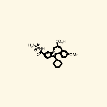 COc1ccc2c(c1)C=C(C(=O)O)Cn1c-2c(C2CCCCC2)c2ccc(C(=O)NS(N)(=O)=O)cc21